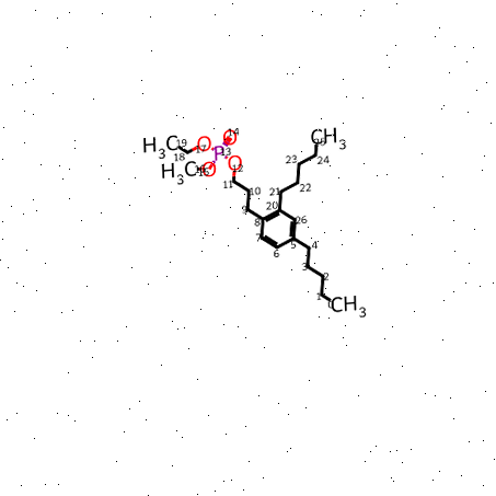 CCCCCc1ccc(CCCOP(=O)(OC)OCC)c(CCCCC)c1